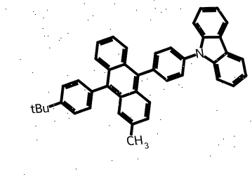 Cc1ccc2c(-c3ccc(-n4c5ccccc5c5ccccc54)cc3)c3ccccc3c(-c3ccc(C(C)(C)C)cc3)c2c1